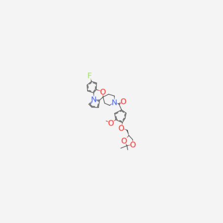 COc1cc(C(=O)N2CCC3(CC2)Oc2cc(F)ccc2-n2cccc23)ccc1OC[C@H]1COC(C)(C)O1